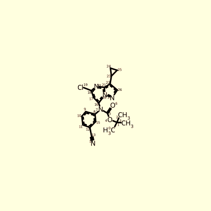 CC(C)(C)OC(=O)N(c1cccc(C#N)c1)c1cc(Cl)nc2c(C3CC3)cnn12